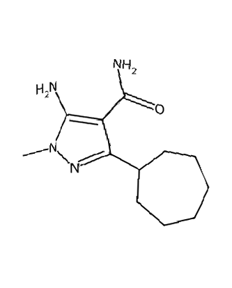 Cn1nc(C2CCCCCC2)c(C(N)=O)c1N